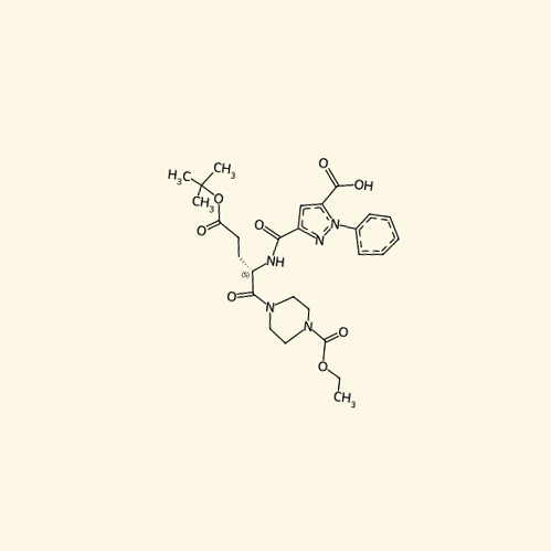 CCOC(=O)N1CCN(C(=O)[C@H](CCC(=O)OC(C)(C)C)NC(=O)c2cc(C(=O)O)n(-c3ccccc3)n2)CC1